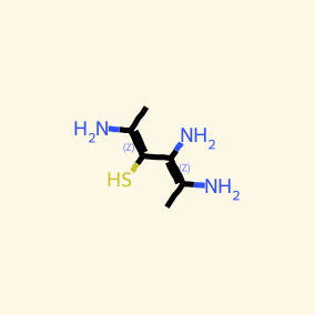 C/C(N)=C(N)\C(S)=C(/C)N